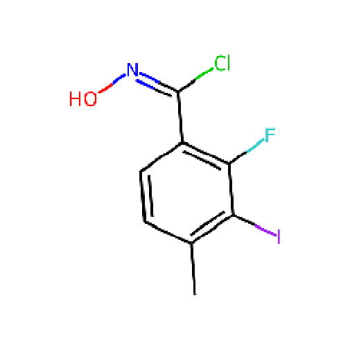 Cc1ccc(/C(Cl)=N\O)c(F)c1I